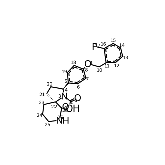 O=C(O)N1[C@H](c2ccc(OCc3ccccc3F)cc2)CC[C@]12CCCNC2=O